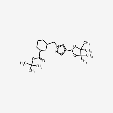 CC(C)(C)OC(=O)N1CCCC(Cn2cc(B3OC(C)(C)C(C)(C)O3)cn2)C1